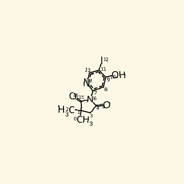 CC1(C)CC(=O)N(c2cc(O)c(I)cn2)C1=O